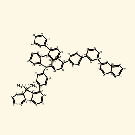 CC1(C)c2ccccc2-c2cccc(-c3ccc(N(c4ccc(-c5ccc(-c6cccc(-c7ccc8ccccc8c7)c6)cc5)cc4)c4ccccc4-c4ccccc4-c4ccccc4)cc3)c21